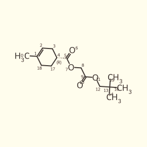 CC1=CC[C@H](C(=O)OCC(=O)OCC(C)(C)C)CC1